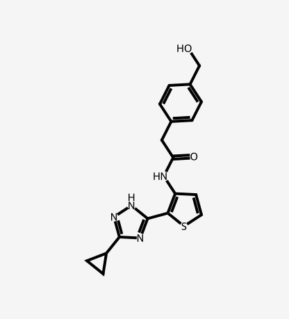 O=C(Cc1ccc(CO)cc1)Nc1ccsc1-c1nc(C2CC2)n[nH]1